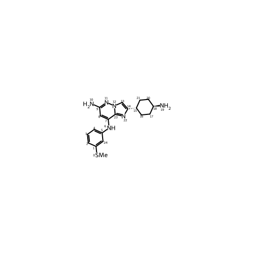 CSc1cccc(Nc2cc(N)nn3cc([C@H]4CC[C@H](N)CC4)nc23)c1